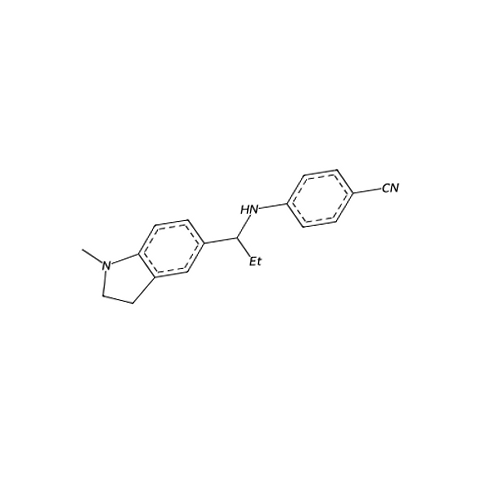 CCC(Nc1ccc(C#N)cc1)c1ccc2c(c1)CCN2C